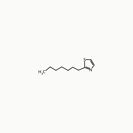 CCCCCCCc1nccs1